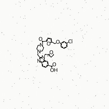 O=C(O)c1ccc2nc(CN3CCN(C(=O)c4ccc(COc5cccc(Cl)c5)o4)CC3)n(C[C@@H]3CCO3)c2c1